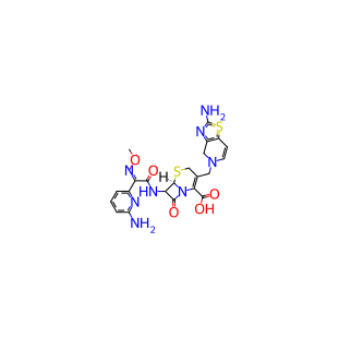 CO/N=C(\C(=O)NC1C(=O)N2C(C(=O)O)=C(CN3C=Cc4sc(N)nc4C3)CS[C@H]12)c1cccc(N)n1